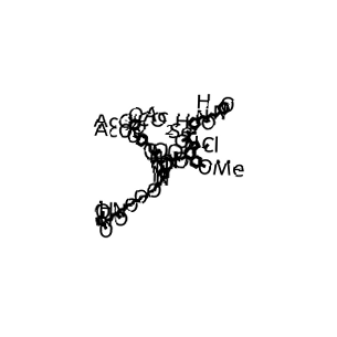 COc1ccc2c(OC(=O)N(CCN(C)C(=O)OCc3ccc(O[C@@H]4O[C@@H](C(=O)O)[C@H](OC(C)=O)[C@@H](OC(C)=O)[C@@H]4OC(C)=O)cc3)Cc3cn(CCOCCOCCOCCNC(=O)CCN4C(=O)C=CC4=O)nn3)cc3c(c2c1)[C@H](CCl)CN3C(=O)c1cc2cc(NC(=O)CCN3CCOCC3)ccc2[se]1